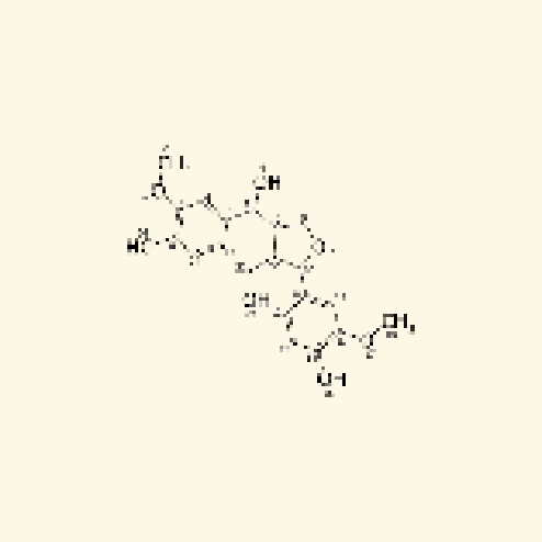 COc1cc(C(O)C2COC(c3ccc(O)c(OC)c3)C2CO)ccc1O